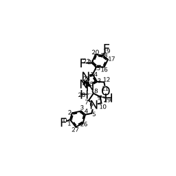 Fc1ccc(CN2C[C@@H]3[C@@H](C2)OCc2c(-c4ccc(F)cc4F)nnn23)cc1